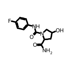 NC(=O)C1CC(O)CN1C(=O)Nc1ccc(F)cc1